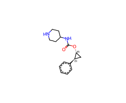 O=C(NC1CCNCC1)O[C@@H]1C[C@H]1c1ccccc1